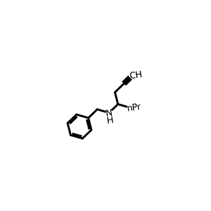 C#CCC(CCC)NCc1ccccc1